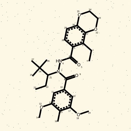 CCc1c(C(=O)NN(C(=O)c2cc(OC)c(C)c(OC)c2)C(CC)C(C)(C)C)ccc2c1OCCO2